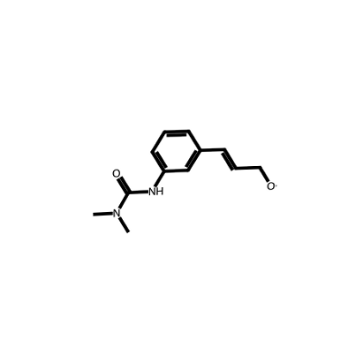 CN(C)C(=O)Nc1cccc(/C=C/C[O])c1